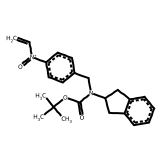 C=C[N+](=O)c1ccc(CN(C(=O)OC(C)(C)C)C2Cc3ccccc3C2)cc1